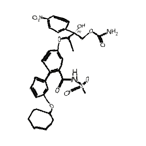 CC(Oc1ccc(-c2cccc(OC3CCCCC3)c2)c(C(=O)NS(C)(=O)=O)c1)[C@](O)(COC(N)=O)c1ccc([N+](=O)[O-])cc1